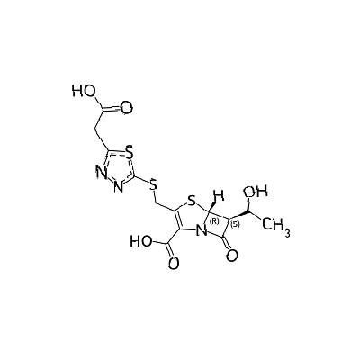 CC(O)[C@H]1C(=O)N2C(C(=O)O)=C(CSc3nnc(CC(=O)O)s3)S[C@H]12